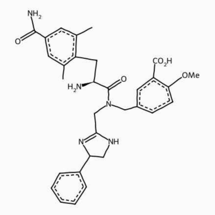 COc1ccc(CN(CC2=NC(c3ccccc3)CN2)C(=O)[C@@H](N)Cc2c(C)cc(C(N)=O)cc2C)cc1C(=O)O